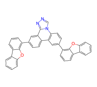 c1ccc2c(c1)oc1c(-c3ccc4c(c3)c3ccc(-c5cccc6c5oc5ccccc56)cc3c3nncn43)cccc12